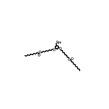 CCCCCCCCCC(=O)OCCCCCCCCOc1cc(CNC)cc(OCCCCCCCCOC(=O)CCCCCCCCC)c1